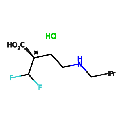 CC(C)CNCC[C@H](C(=O)O)C(F)F.Cl